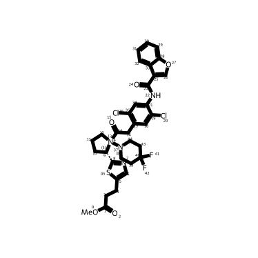 COC(=O)CCc1cnc([C@@H]2CCC[N+]2(C(=O)Cc2cc(Cl)c(NC(=O)c3coc4ccccc34)cc2Cl)N2CCC(F)(F)CC2)s1